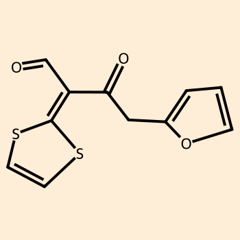 O=CC(C(=O)Cc1ccco1)=C1SC=CS1